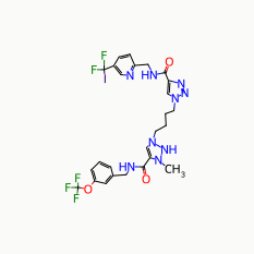 CN1NN(CCCCn2cc(C(=O)NCc3ccc(C(F)(F)I)cn3)nn2)C=C1C(=O)NCc1cccc(OC(F)(F)F)c1